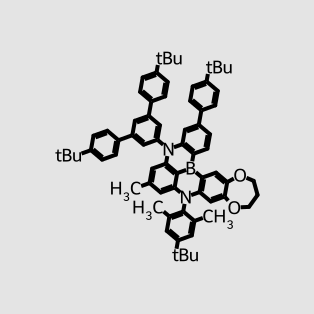 Cc1cc2c3c(c1)N(c1c(C)cc(C(C)(C)C)cc1C)c1cc4c(cc1B3c1ccc(-c3ccc(C(C)(C)C)cc3)cc1N2c1cc(-c2ccc(C(C)(C)C)cc2)cc(-c2ccc(C(C)(C)C)cc2)c1)OCCCO4